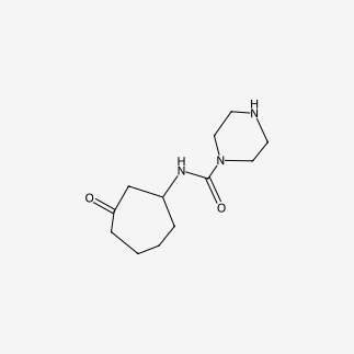 O=C1CCCCC(NC(=O)N2CCNCC2)C1